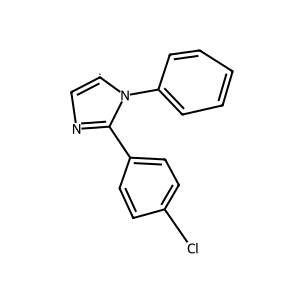 Clc1ccc(-c2nc[c]n2-c2ccccc2)cc1